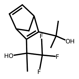 CC(C)(O)C1=C(C(C)(O)C(F)(F)F)C2C=CC1C2